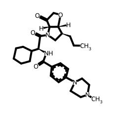 CCC[C@H]1CN(C(=O)[C@@H](NC(=O)c2ccc(N3CCN(C)CC3)cc2)C2CCCCC2)[C@@H]2C(=O)CO[C@H]12